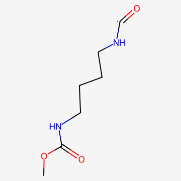 COC(=O)NCCCCN[C]=O